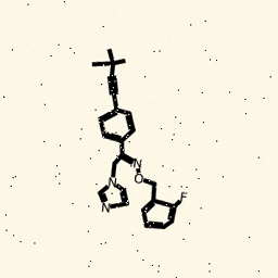 CC(C)(C)C#Cc1ccc(/C(Cn2ccnc2)=N/OCc2ccccc2F)cc1